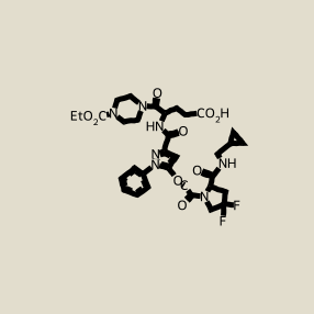 CCOC(=O)N1CCN(C(=O)C(CCC(=O)O)NC(=O)c2cc(OCC(=O)N3CC(F)(F)CC3C(=O)NCC3CC3)n(-c3ccccc3)n2)CC1